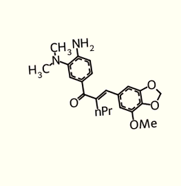 CCC/C(=C\c1cc(OC)c2c(c1)OCO2)C(=O)c1ccc(N)c(N(C)C)c1